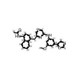 COc1cc(Nc2cncc(Cc3ccc(NC(C)=O)c4ccccc34)n2)cc(-c2cnco2)c1